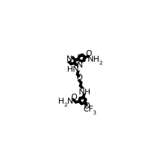 NC(=O)Cc1cc(CNCCCCOCCNc2nc3cc(C(N)=O)ccc3c3cnccc23)cc(OC(F)(F)F)c1